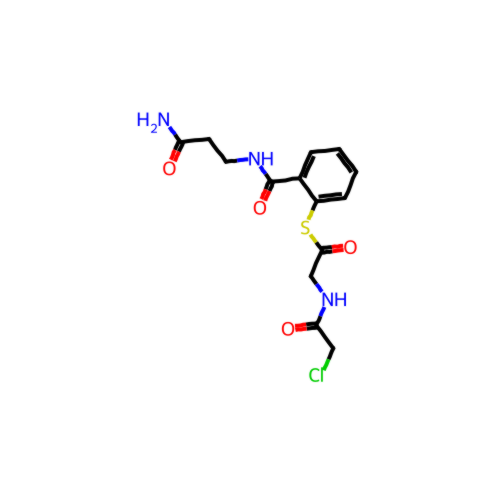 NC(=O)CCNC(=O)c1ccccc1SC(=O)CNC(=O)CCl